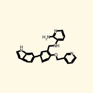 Nc1ncccc1NCc1cc(-c2ccc3cc[nH]c3c2)ccc1OCc1cccnc1